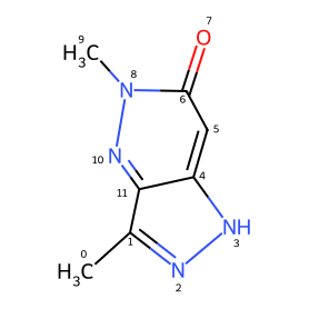 Cc1n[nH]c2cc(=O)n(C)nc12